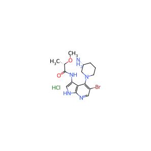 CO[C@@H](C)C(=O)Nc1c[nH]c2ncc(Br)c(N3CCC[C@@H](N)C3)c12.Cl